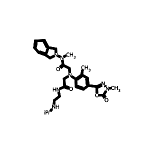 Cc1cc(-c2nn(C)c(=O)o2)ccc1N(CC(=O)NCCNC(C)C)CC(=O)N(C)N1Cc2ccccc2C1